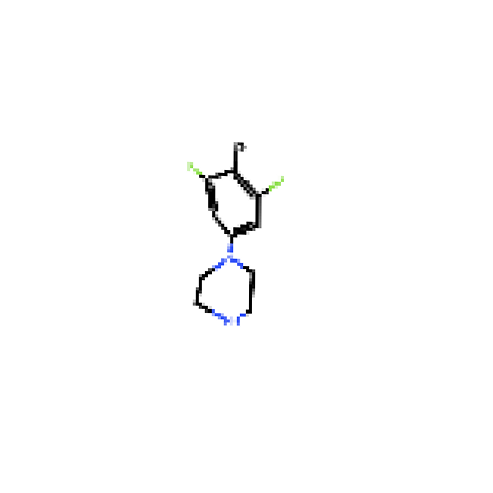 N#Cc1c(F)cc(N2CCNCC2)cc1F